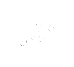 O=C(NCc1ccncc1)c1cnccc1C(=O)N1Cc2ccccc2Oc2ccc(Cl)cc21